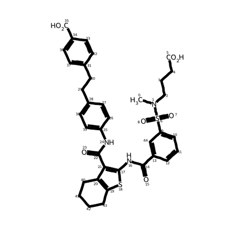 CN(CCCC(=O)O)S(=O)(=O)c1cccc(C(=O)Nc2sc3c(c2C(=O)Nc2ccc(CCc4ccc(C(=O)O)cc4)cc2)CCCC3)c1